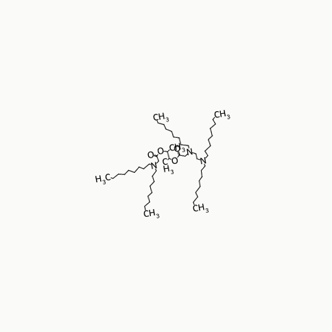 CCCCCCCCCN(CCCCCCCCC)CCN(CCCCCCCCC)CC(=O)OC(C)C(C)OC(=O)CN(CCCCCCCCC)CCCCCCCCC